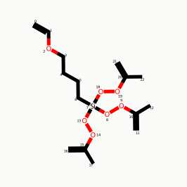 C=COCCCC[Si](OOC(=C)C)(OOC(=C)C)OOC(=C)C